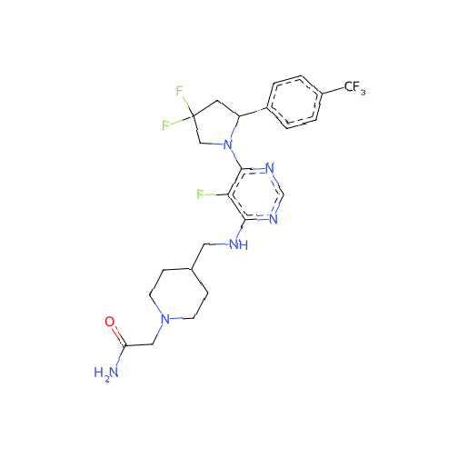 NC(=O)CN1CCC(CNc2ncnc(N3CC(F)(F)CC3c3ccc(C(F)(F)F)cc3)c2F)CC1